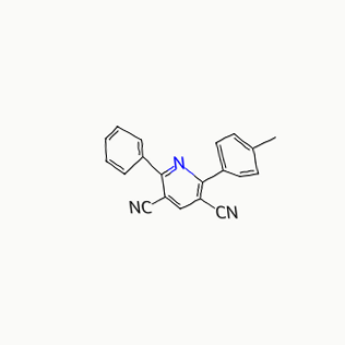 Cc1ccc(-c2nc(-c3ccccc3)c(C#N)cc2C#N)cc1